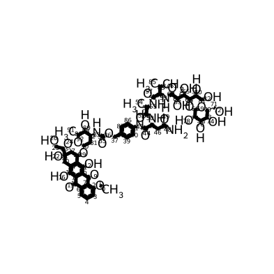 COc1cccc2c1C(=O)c1c(O)c3c(c(O)c1C2=O)C[C@](O)(C(=O)CO)CC3O[C@H]1C[C@H](NC(=O)OCc2ccc(NC(=O)C(CC(N)=O)NC(=O)C(C)NC(=O)C(NC(=O)[C@H](O)[C@H](O)[C@@H](O[C@@H]3O[C@H](CO)[C@H](O)[C@H](O)[C@H]3O)[C@H](O)CO)C(C)C)cc2)[C@H](O)[C@H](C)O1